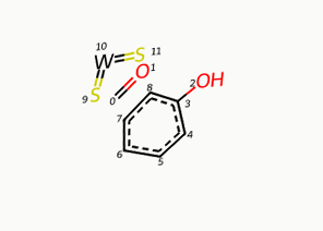 C=O.Oc1ccccc1.[S]=[W]=[S]